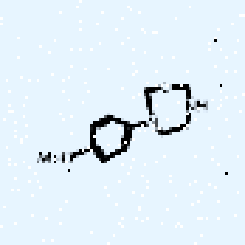 COc1ccc(N2CCCNCC2)cc1